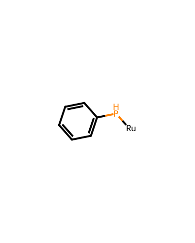 [Ru][PH]c1ccccc1